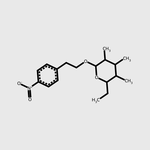 CCC1OC(OCCc2ccc([N+](=O)[O-])cc2)C(C)C(C)C1C